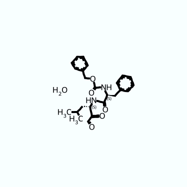 CC(C)C[C@H](NC(=O)[C@H](Cc1ccccc1)NC(=O)OCc1ccccc1)C(=O)C=O.O